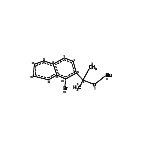 CCC(C)OC(C)(C)c1ccc2ccccc2c1Br